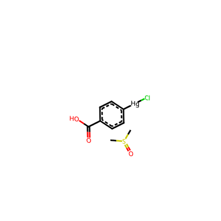 CS(C)=O.O=C(O)c1cc[c]([Hg][Cl])cc1